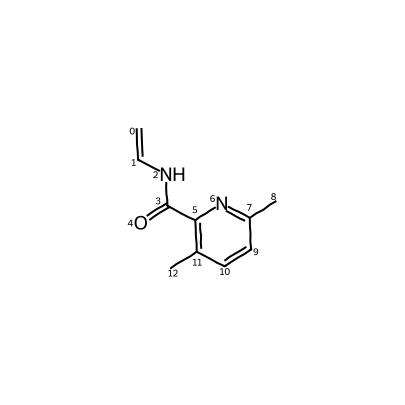 C=CNC(=O)c1nc(C)ccc1C